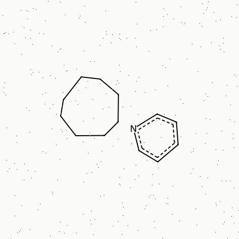 C1CCCCCCC1.c1ccncc1